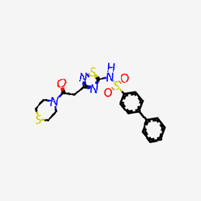 O=C(Cc1nsc(NS(=O)(=O)c2ccc(-c3ccccc3)cc2)n1)N1CCSCC1